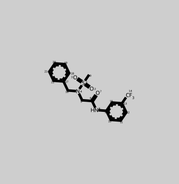 CS(=O)(=O)N(CC(=O)Nc1cccc(C(F)(F)F)c1)Cc1ccccc1